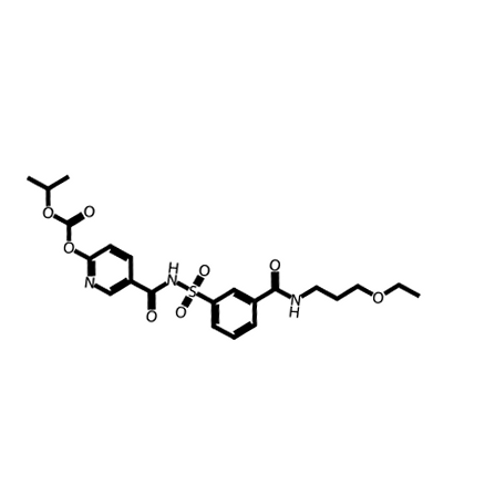 CCOCCCNC(=O)c1cccc(S(=O)(=O)NC(=O)c2ccc(OC(=O)OC(C)C)nc2)c1